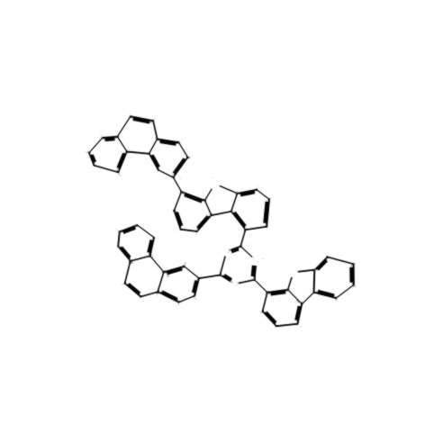 c1ccc2c(c1)ccc1ccc(-c3nc(-c4cccc5c4oc4ccccc45)nc(-c4cccc5oc6c(-c7ccc8ccc9ccccc9c8c7)cccc6c45)n3)cc12